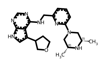 C[C@@H]1CN(c2cccc(CNc3ncnc4[nH]cc(C5CCOC5)c34)n2)C[C@H](C)N1